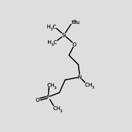 CN(CCO[Si](C)(C)C(C)(C)C)CCP(C)(C)=O